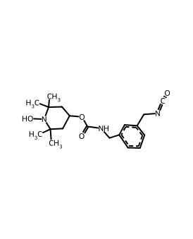 CC1(C)CC(OC(=O)NCc2cccc(CN=C=O)c2)CC(C)(C)N1O